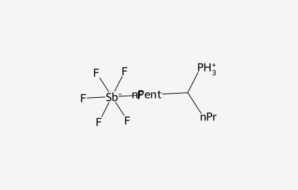 CCCCCC([PH3+])CCC.[F][Sb-]([F])([F])([F])([F])[F]